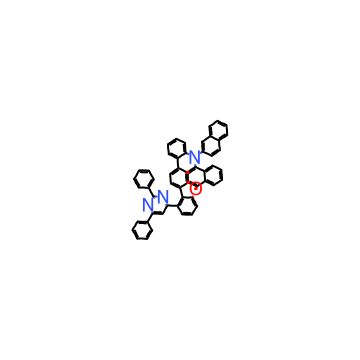 c1ccc(-c2cc(-c3cccc4oc5cc(-c6ccccc6N(c6ccc7ccccc7c6)c6cccc7ccccc67)ccc5c34)nc(-c3ccccc3)n2)cc1